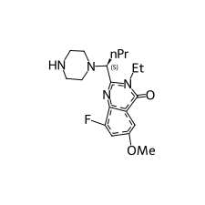 CCC[C@@H](c1nc2c(F)cc(OC)cc2c(=O)n1CC)N1CCNCC1